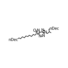 CCCCCCCCCCCCCCCCCCCCn1c2ncnc3c(ncn3CC(C)CCCCCCCCCCC)c-2nc1=O